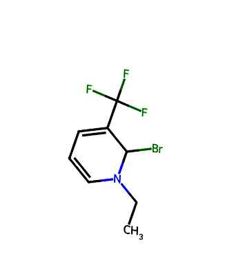 CCN1C=CC=C(C(F)(F)F)C1Br